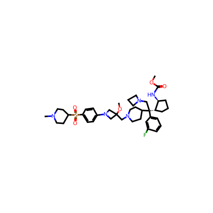 COC(=O)N[C@H]1CCC[C@@H]1C(CN1CCC1)(c1cccc(F)c1)C1CCN(CC2(OC)CN(c3ccc(S(=O)(=O)C4CCN(C)CC4)cc3)C2)CC1